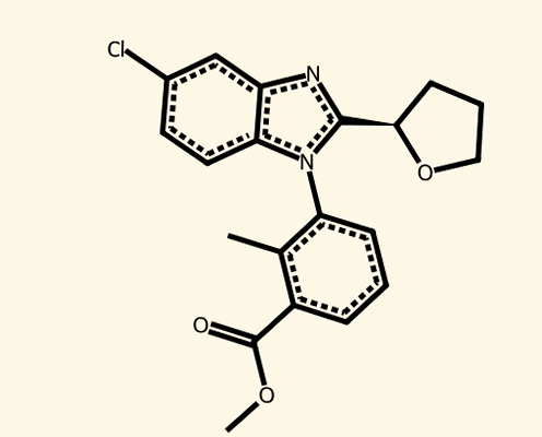 COC(=O)c1cccc(-n2c([C@H]3CCCO3)nc3cc(Cl)ccc32)c1C